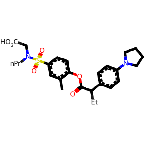 CCCN(CC(=O)O)S(=O)(=O)c1ccc(OC(=O)C(CC)c2ccc(N3CCCC3)cc2)c(C)c1